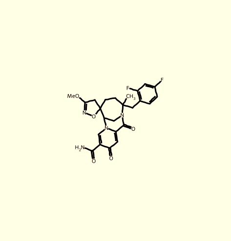 COC1=NOC2(CCC(C)(Cc3ccc(F)cc3F)N3CC2n2cc(C(N)=O)c(=O)cc2C3=O)C1